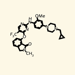 COc1cc(N2CCN(CC3CC3)CC2)ccc1Nc1ncc(C(F)(F)F)c(Oc2cccc3c2C(=O)N(C)C3)n1